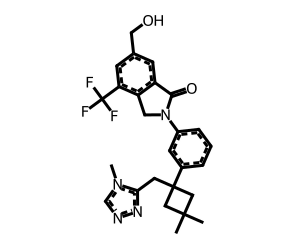 Cn1cnnc1CC1(c2cccc(N3Cc4c(cc(CO)cc4C(F)(F)F)C3=O)c2)CC(C)(C)C1